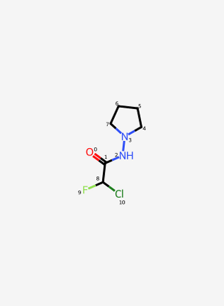 O=C(NN1CCCC1)C(F)Cl